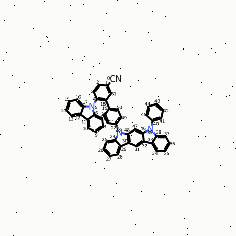 N#Cc1ccc(-n2c3ccccc3c3ccccc32)c(-c2ccc(-n3c4ccccc4c4cc5c6ccccc6n(-c6ccccc6)c5cc43)cc2)c1